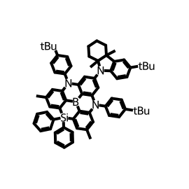 Cc1cc2c3c(c1)[Si](c1ccccc1)(c1ccccc1)c1cc(C)cc4c1B3c1c(cc(N3c5ccc(C(C)(C)C)cc5C5(C)CCCCC35C)cc1N4c1ccc(C(C)(C)C)cc1)N2c1ccc(C(C)(C)C)cc1